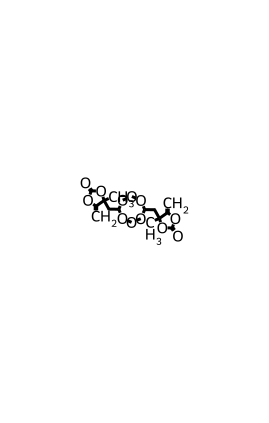 C=C1OC(=O)OC1(C)CC1OOOC(CC2(C)OC(=O)OC2=C)OOO1